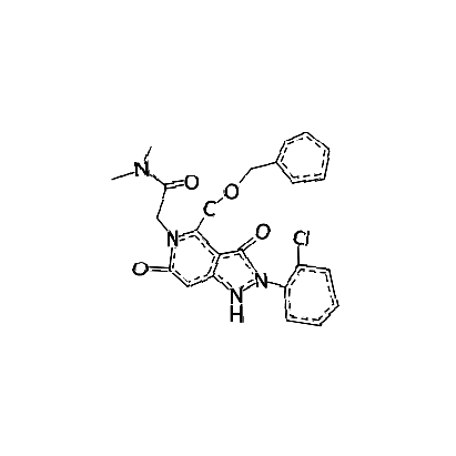 CN(C)C(=O)Cn1c(COCc2ccccc2)c2c(=O)n(-c3ccccc3Cl)[nH]c2cc1=O